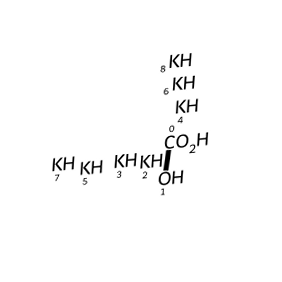 O=C(O)O.[KH].[KH].[KH].[KH].[KH].[KH].[KH]